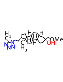 COC[C@@]1(O)CC[C@H]2[C@H](CC[C@@H]3[C@@H]2CC[C@]2(C)[C@@H](CCn4nnnc4C)CC[C@@H]32)C1